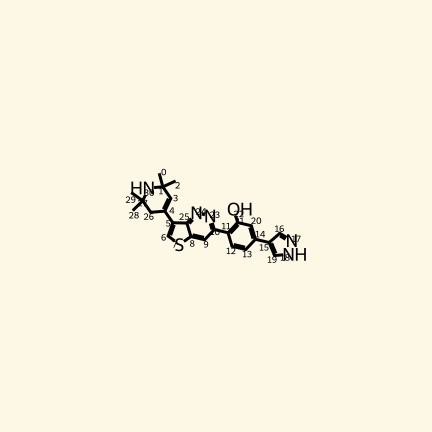 CC1(C)C=C(c2csc3cc(-c4ccc(-c5cn[nH]c5)cc4O)nnc23)CC(C)(C)N1